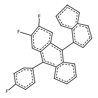 Fc1ccc(-c2c3ccccc3c(-c3cccc4ccccc34)c3cc(F)c(F)cc23)cc1